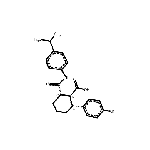 CC(C)c1ccc(NC(=O)[C@H]2CCC[C@@H](c3ccc(Br)cc3)[C@@H]2C(=O)O)cc1